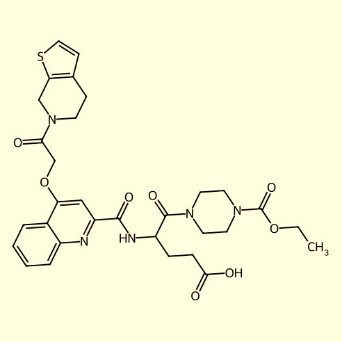 CCOC(=O)N1CCN(C(=O)C(CCC(=O)O)NC(=O)c2cc(OCC(=O)N3CCc4ccsc4C3)c3ccccc3n2)CC1